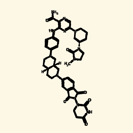 CN1CCN([C@H]2CCCN(c3cnc(C(N)=O)c(Nc4ccc(N5CC[C@H]6CCN(c7ccc8c(c7)C(=O)N(N7CCC(=O)NC7=O)C8=O)C[C@H]6C5)cc4)n3)C2)C1=O